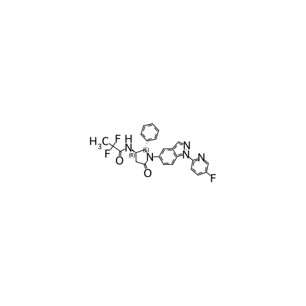 CC(F)(F)C(=O)N[C@@H]1CC(=O)N(c2ccc3c(cnn3-c3ccc(F)cn3)c2)[C@H]1c1ccccc1